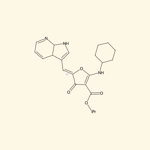 CC(C)OC(=O)C1=C(NC2CCCCC2)O/C(=C\C2=CNC3N=CC=CC23)C1=O